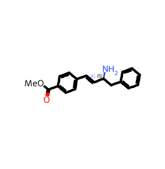 COC(=O)c1ccc(/C=C/[C@@H](N)Cc2ccccc2)cc1